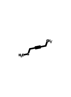 [CH2]CC#CCSC